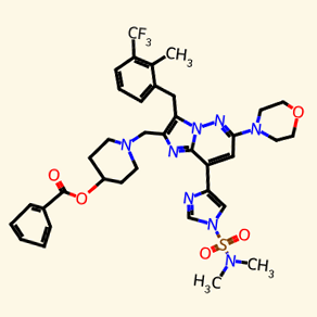 Cc1c(Cc2c(CN3CCC(OC(=O)c4ccccc4)CC3)nc3c(-c4cn(S(=O)(=O)N(C)C)cn4)cc(N4CCOCC4)nn23)cccc1C(F)(F)F